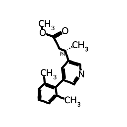 COC(=O)C[C@H](C)c1cncc(-c2c(C)cccc2C)c1